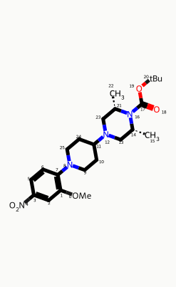 COc1cc([N+](=O)[O-])ccc1N1CCC(N2C[C@@H](C)N(C(=O)OC(C)(C)C)[C@@H](C)C2)CC1